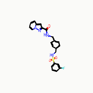 O=C(NCc1ccc(CNS(=O)(=O)c2cccc(F)c2)cc1)c1cc2ccccn2n1